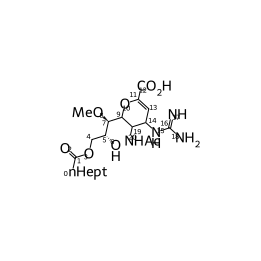 CCCCCCCC(=O)OC[C@@H](O)[C@@H](OC)C1OC(C(=O)O)=CC(NC(=N)N)C1NC(C)=O